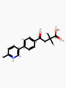 Cc1ccc(-c2ccc(C(=O)CC(C)(C)C(=O)O)cc2)cn1